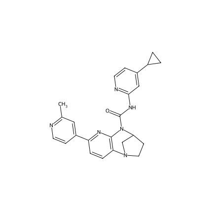 Cc1cc(-c2ccc3c(n2)N(C(=O)Nc2cc(C4CC4)ccn2)C2CCN3C2)ccn1